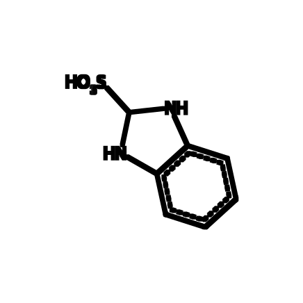 O=S(=O)(O)C1Nc2ccccc2N1